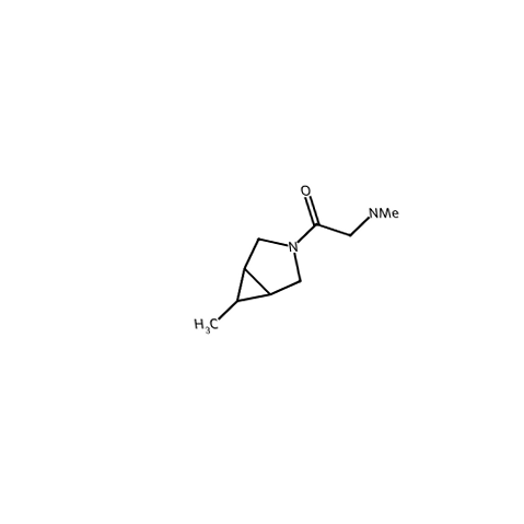 CNCC(=O)N1CC2C(C)C2C1